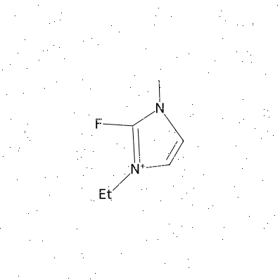 CC[n+]1ccn(C)c1F